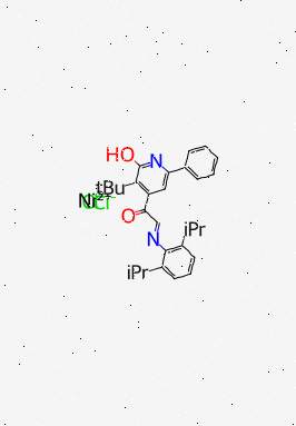 CC(C)c1cccc(C(C)C)c1N=CC(=O)c1cc(-c2ccccc2)nc(O)c1C(C)(C)C.[Cl-].[Cl-].[Ni+2]